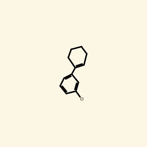 Clc1cccc(C2=CC[CH]CC2)c1